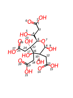 O=C(O)CC(O)[C@H]1O[C@@H](O)[C@@](O)(CC(=O)O)[C@](O)(CC(=O)O)[C@@]1(O)CC(=O)O